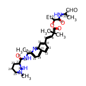 CCC(OC(=O)C(C)(C)/C=C/c1ccc2ccc([C@@H](C)NC(=O)C3CCCN(C)N3)nc2c1)C(=O)NC(C)C=O